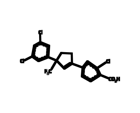 O=C(O)c1ccc(C2=CC(c3cc(Cl)cc(Cl)c3)(C(F)(F)F)CC2)cc1Cl